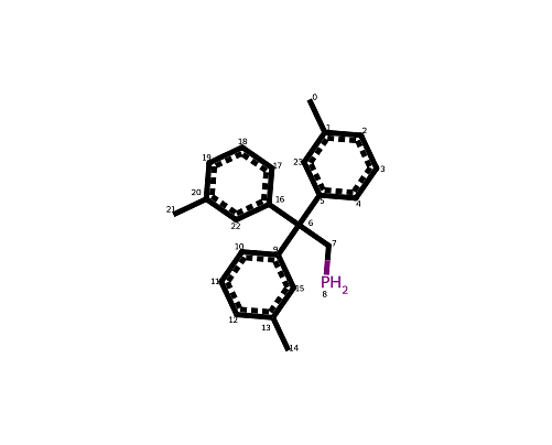 Cc1cccc(C(CP)(c2cccc(C)c2)c2cccc(C)c2)c1